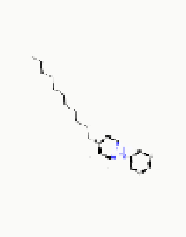 CCCCCCCCCCCc1cc[n+](-c2ccccc2)cc1